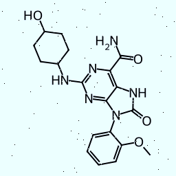 COc1ccccc1-n1c(=O)[nH]c2c(C(N)=O)nc(NC3CCC(O)CC3)nc21